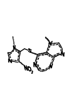 Cn1cnc([N+](=O)[O-])c1Sc1ncnc2ncn(C)c12